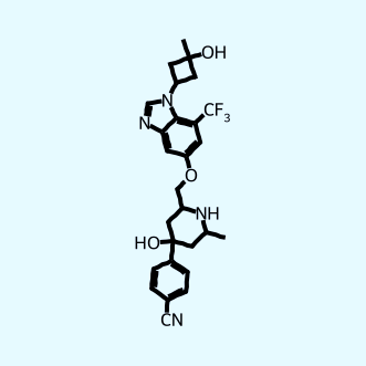 CC1CC(O)(c2ccc(C#N)cc2)CC(COc2cc(C(F)(F)F)c3c(c2)ncn3C2CC(C)(O)C2)N1